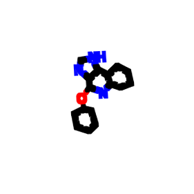 c1ccc(Oc2nc3ccccc3c3[nH]cnc23)cc1